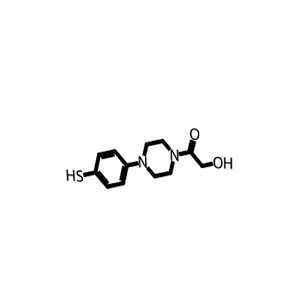 O=C(CO)N1CCN(c2ccc(S)cc2)CC1